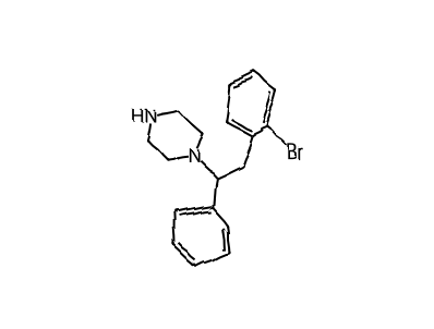 Brc1ccccc1CC(c1ccccc1)N1CCNCC1